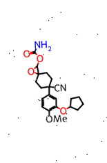 COc1ccc(C2(C#N)CCC3(CC2)OC3OC(N)=O)cc1OC1CCCC1